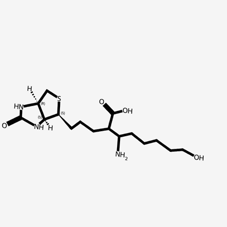 NC(CCCCCO)C(CCC[C@@H]1SC[C@@H]2NC(=O)N[C@@H]21)C(=O)O